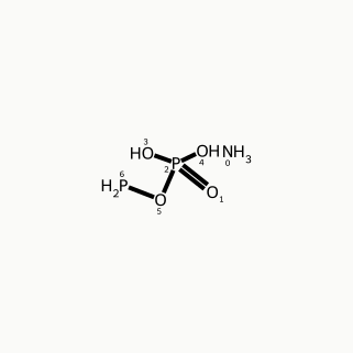 N.O=P(O)(O)OP